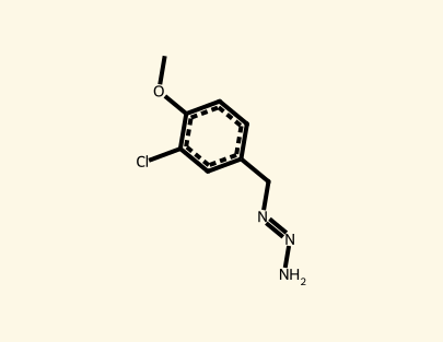 COc1ccc(CN=NN)cc1Cl